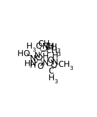 Cc1cc(C)c(CNC(=O)c2cc(C3=CC(C)(C)NC(C)(C)C3)nc(NCCO)c2C=N)c(=O)[nH]1